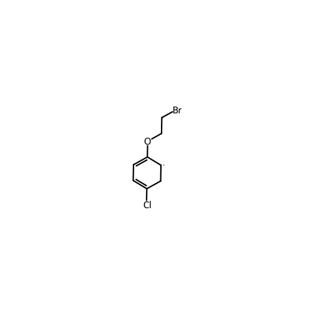 ClC1=CC=C(OCCBr)[CH]C1